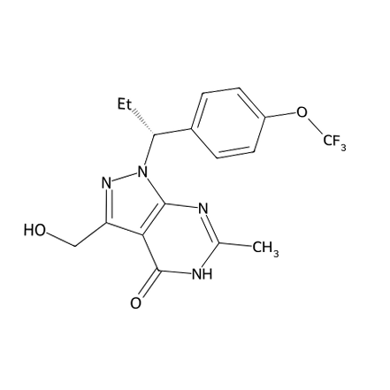 CC[C@H](c1ccc(OC(F)(F)F)cc1)n1nc(CO)c2c(=O)[nH]c(C)nc21